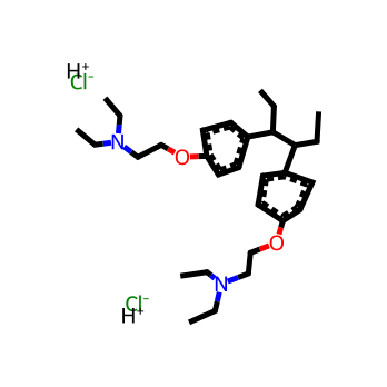 CCC(c1ccc(OCCN(CC)CC)cc1)C(CC)c1ccc(OCCN(CC)CC)cc1.[Cl-].[Cl-].[H+].[H+]